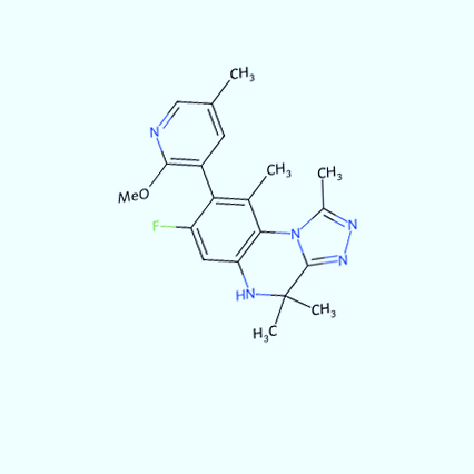 COc1ncc(C)cc1-c1c(F)cc2c(c1C)-n1c(C)nnc1C(C)(C)N2